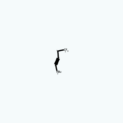 [CH2]CCCC#CCC(F)(F)F